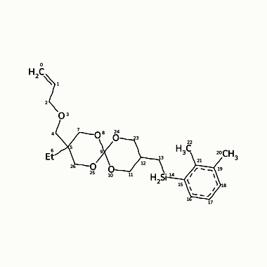 C=CCOCC1(CC)COC2(OCC(C[SiH2]c3cccc(C)c3C)CO2)OC1